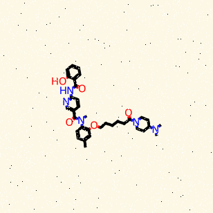 Cc1ccc(N(C)C(=O)c2ccc(NC(=O)c3ccccc3O)nc2)c(OCCCCCC(=O)N2CCC(N(C)C)CC2)c1